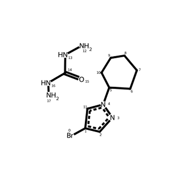 Brc1cnn(C2CCCCC2)c1.NNC(=O)NN